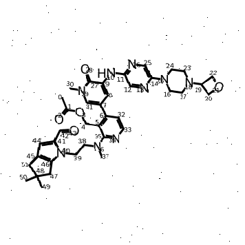 CC(=O)OCc1c(-c2cc(Nc3cnc(N4CCN(C5COC5)CC4)cn3)c(=O)n(C)c2)ccnc1N(C)CCn1c(C=O)cc2c1CC(C)(C)C2